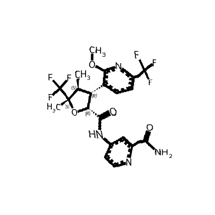 COc1nc(C(F)(F)F)ccc1[C@@H]1[C@H](C(=O)Nc2ccnc(C(N)=O)c2)O[C@](C)(C(F)(F)F)[C@H]1C